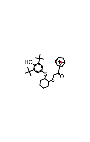 CC(C)(C)c1cc(SC2CCCCC2SCC(=O)N2CC3CCC(CC3)C2)cc(C(C)(C)C)c1O